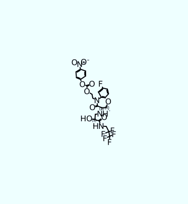 C[C@H]1Oc2ccc(F)cc2N(CCOC(=O)Oc2ccc([N+](=O)[O-])cc2)C(=O)[C@H]1NC[C@](C)(O)C(=O)NCC(F)(F)C(F)(F)F